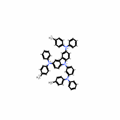 Cc1ccc(N(c2ccccc2)c2cccc(-n3c4ccc(N(c5ccccc5)c5ccc(C)cc5)cc4c4cc(N(c5ccccc5)c5ccc(C)cc5)ccc43)c2)cc1